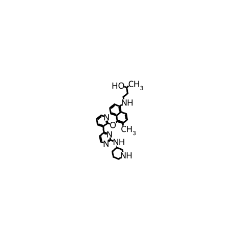 Cc1ccc2c(NCCC(C)O)cccc2c1Oc1ncccc1-c1ccnc(N[C@H]2CCCNC2)n1